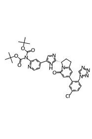 CC(C)(C)OC(=O)N(C(=O)OC(C)(C)C)c1cc(-c2cnc([C@@H]3CCc4cc(-c5cc(Cl)ccc5-n5cnnn5)cc(=O)n43)[nH]2)ccn1